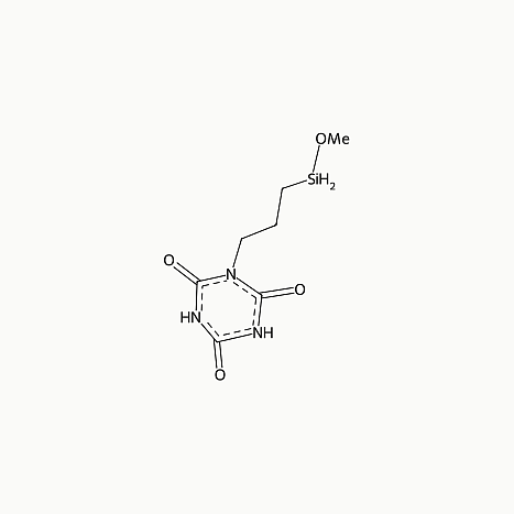 CO[SiH2]CCCn1c(=O)[nH]c(=O)[nH]c1=O